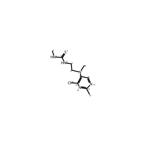 CNC(=S)NCCN(C)c1cnc(C)nc1Cl